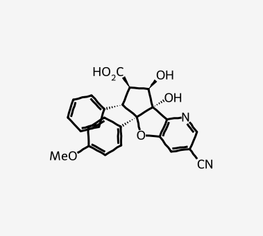 COc1ccc([C@@]23Oc4cc(C#N)cnc4[C@]2(O)[C@H](O)[C@H](C(=O)O)[C@H]3c2ccccc2)cc1